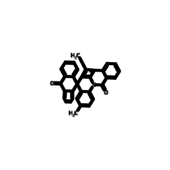 Cc1ccc2c(c1)C1(c3ccccc3C(=O)c3ccccc31)c1cc(C)cc3c4ccccc4c(=O)n-2c13